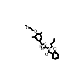 CCCCN(C(=O)c1ccccc1Cl)c1nnc(-c2cc(C)c(OCCOC)c(C)c2)s1